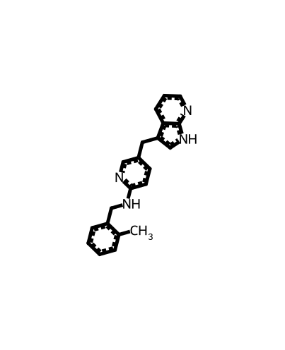 Cc1ccccc1CNc1ccc(Cc2c[nH]c3ncccc23)cn1